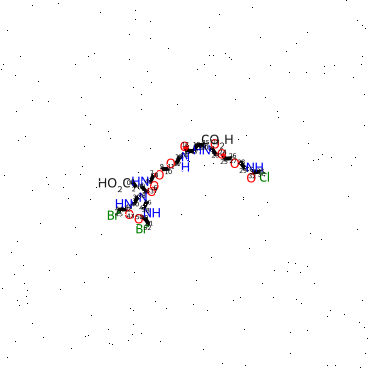 O=C(O)CC[C@H](NC(=O)COCCOCCNC(=O)CC[C@@H](NC(=O)COCCOCCNC(=O)CCl)C(=O)O)C(=O)N(CCNC(=O)CBr)CCNC(=O)CBr